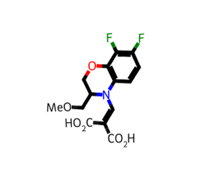 COCC1COc2c(ccc(F)c2F)N1C=C(C(=O)O)C(=O)O